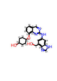 OCc1cc(Nc2ncc3cccc(OC4CCC(O)CC4)c3n2)cc2[nH]cnc12